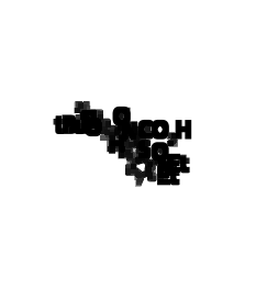 CCN(CC)C(=O)c1ccccc1SC1=C(C(=O)O)N2C(=O)[C@@H](CCO[Si](C)(C)C(C)(C)C)[C@H]2[C@H]1C